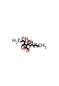 C=CC(=C)C(O)C(=C/C)/C(C(=O)C=O)=C(\C)CCCCCC